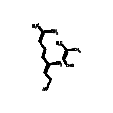 CC(C)=CC=O.CC(C)=CCC/C(C)=C/CO